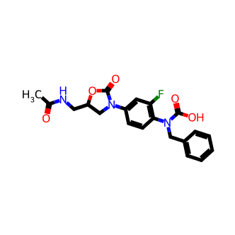 CC(=O)NCC1CN(c2ccc(N(Cc3ccccc3)C(=O)O)c(F)c2)C(=O)O1